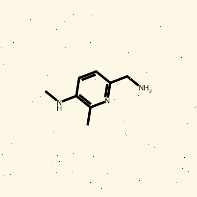 CNc1ccc(CN)nc1C